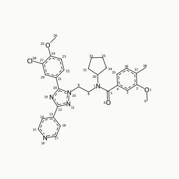 COc1cc(C(=O)N(CCn2nc(-c3ccncc3)nc2-c2ccc(OC)c(Cl)c2)C2CCCC2)ccc1C